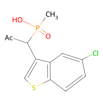 CC(=O)C(c1csc2ccc(Cl)cc12)P(C)(=O)O